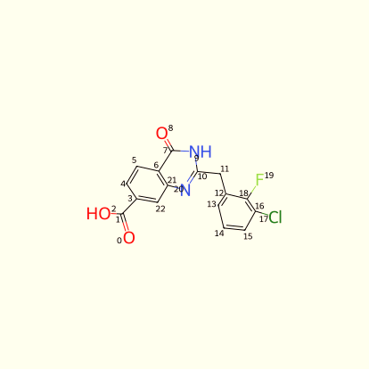 O=C(O)c1ccc2c(=O)[nH]c(Cc3cccc(Cl)c3F)nc2c1